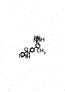 CC1=C(c2ccc(NC(=O)c3ccncc3F)cc2)CN(c2nnn[nH]2)CC1